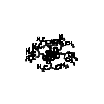 CCC(CC)CO[Si](OCC(CC)CC)(OCC(CC)CC)O[Si](OCC(CC)CC)(OCC(CC)CC)OCC(CC)CC